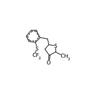 CC1SC(Cc2ccccc2SC(F)(F)F)CC1=O